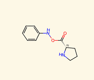 O=C(ONc1ccccc1)[C@@H]1CCCN1